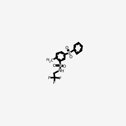 Cc1ccc(S(=O)(=O)c2ccccc2)cc1S(=O)(=O)NCC(F)(F)F